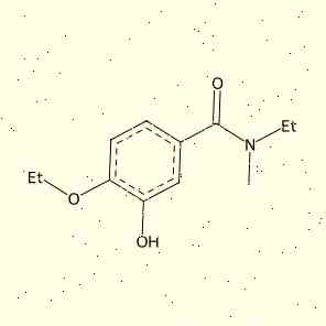 CCOc1ccc(C(=O)N(C)CC)cc1O